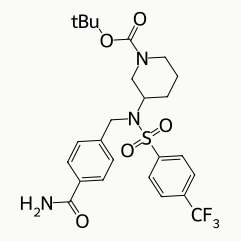 CC(C)(C)OC(=O)N1CCCC(N(Cc2ccc(C(N)=O)cc2)S(=O)(=O)c2ccc(C(F)(F)F)cc2)C1